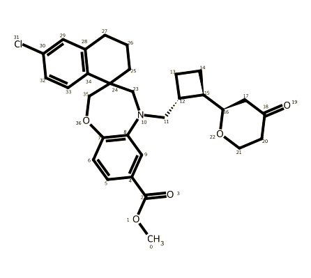 COC(=O)c1ccc2c(c1)N(C[C@@H]1CC[C@H]1[C@H]1CC(=O)CCO1)CC1(CCCc3cc(Cl)ccc31)CO2